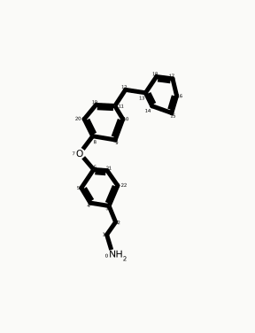 NCCc1ccc(Oc2ccc(Cc3ccccc3)cc2)cc1